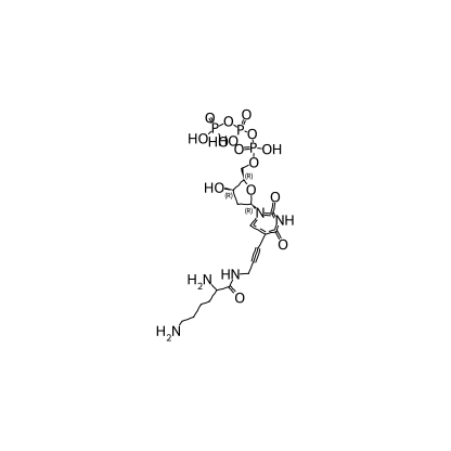 NCCCCC(N)C(=O)NCC#Cc1cn([C@H]2C[C@@H](O)[C@@H](COP(=O)(O)OP(=O)(O)OP(=O)(O)O)O2)c(=O)[nH]c1=O